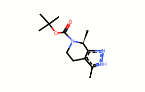 Cc1[nH]nc2c1CCN(C(=O)OC(C)(C)C)[C@H]2C